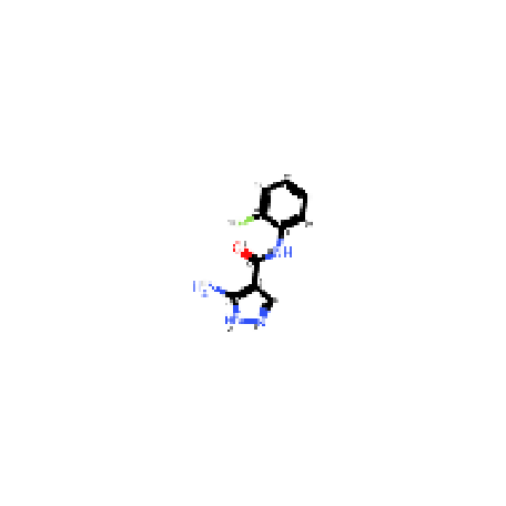 Nc1[nH]ncc1C(=O)Nc1ccccc1F